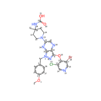 COc1ccc(Cn2nc(Oc3c(Cl)cncc3Br)c3ncc(N4CCC(C)(NC(=O)O)CC4)nc32)cc1